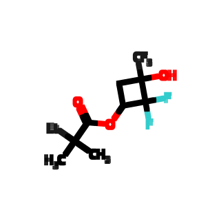 CCC(C)(C)C(=O)OC1CC(O)(C(F)(F)F)C1(F)F